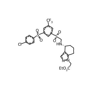 CCOC(=O)Cn1ncc2c1CCC[C@H]2NCS(=O)(=O)c1cc(C(F)(F)F)cc(S(=O)(=O)c2ccc(Cl)cc2)c1